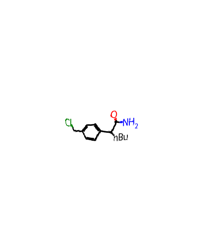 [CH2]CCCC(C(N)=O)c1ccc(CCl)cc1